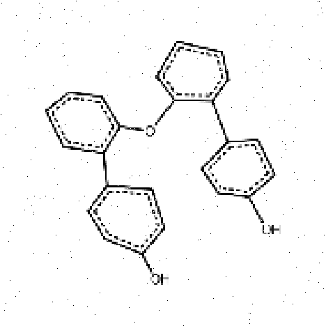 Oc1ccc(-c2ccccc2Oc2ccccc2-c2ccc(O)cc2)cc1